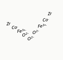 [Co].[Co].[Fe+3].[Fe+3].[O-2].[O-2].[O-2].[Zr].[Zr]